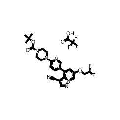 CC(C)(C)OC(=O)N1CCN(c2ccc(-c3cc(OCC(F)F)cn4ncc(C#N)c34)cn2)CC1.O=C(O)C(F)(F)F